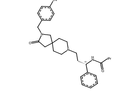 CC(C)C(=O)N[C@@H](CCN1CCC2(CC1)CC(=O)N(Cc1ccc(C#N)cc1)C2)c1ccccc1